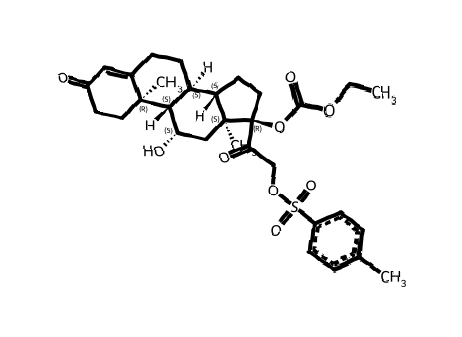 CCOC(=O)O[C@]1(C(=O)COS(=O)(=O)c2ccc(C)cc2)CC[C@H]2[C@@H]3CCC4=CC(=O)CC[C@]4(C)[C@H]3[C@@H](O)C[C@@]21C